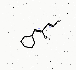 CC(=O)/C=C/C(C)=C/C1CCCCC1